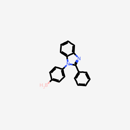 Bc1ccc(-n2c(-c3ccccc3)nc3ccccc32)cc1